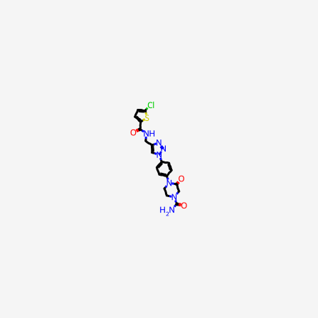 NC(=O)N1CCN(c2ccc(-n3cc(CNC(=O)c4ccc(Cl)s4)nn3)cc2)C(=O)C1